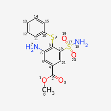 COC(=O)c1cc(N)c(Sc2ccccc2)c(S(N)(=O)=O)c1